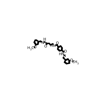 COc1cccc(/C=N/NC(=O)CCCNC(=O)c2ccc(C(=O)N/N=C/c3cccc(OC)c3)cc2)c1